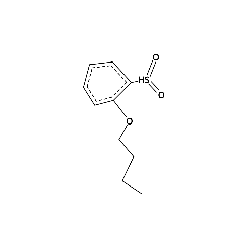 CCCCOc1ccccc1[SH](=O)=O